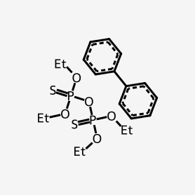 CCOP(=S)(OCC)OP(=S)(OCC)OCC.c1ccc(-c2ccccc2)cc1